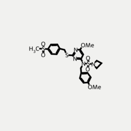 COc1ccc(CN(c2cc(OC)nc(SCc3ccc(S(C)(=O)=O)cc3)n2)S(=O)(=O)N2CCC2)cc1